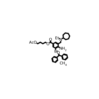 C.CCN(Cc1cc(C(=O)OCCCCOC(C)=O)cc(Br)c1N)C1CCCCCC1.O=C(c1ccccc1)c1ccccc1